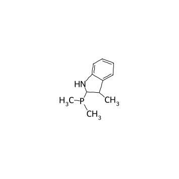 CC1c2ccccc2NC1P(C)C